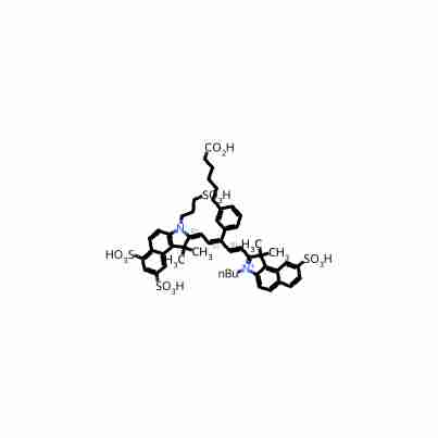 CCCC[N+]1=C(/C=C/C(=C/C=C2/N(CCCS(=O)(=O)O)c3ccc4c(S(=O)(=O)O)cc(S(=O)(=O)O)cc4c3C2(C)C)c2cccc(CCCCCC(=O)O)c2)C(C)(C)c2c1ccc1ccc(S(=O)(=O)O)cc21